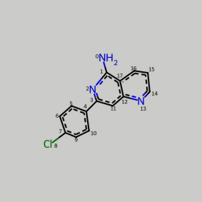 Nc1nc(-c2ccc(Cl)cc2)cc2ncccc12